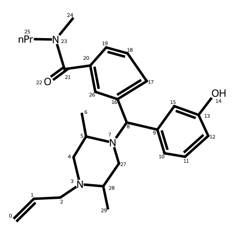 C=CCN1CC(C)N(C(c2cccc(O)c2)c2cccc(C(=O)N(C)CCC)c2)CC1C